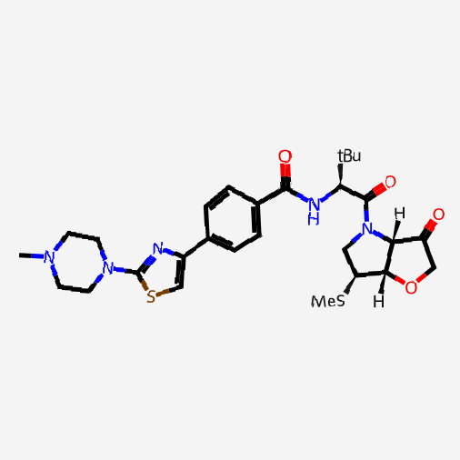 CS[C@H]1CN(C(=O)[C@@H](NC(=O)c2ccc(-c3csc(N4CCN(C)CC4)n3)cc2)C(C)(C)C)[C@@H]2C(=O)CO[C@H]12